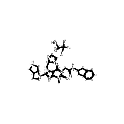 Cn1c(=O)n(CC(=O)NC2Cc3ccccc3C2)c(=O)c2c1nc(N1CCC3CNCC31)n2Cc1ncco1.O=C(O)C(F)(F)F